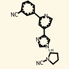 N#Cc1cccc(-c2cc(-c3cn([C@@H]4CCCN4C#N)cn3)ccn2)c1